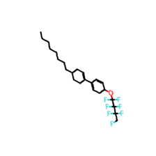 CCCCCCCCC1CC=C(C2=CCC(OC(F)(F)C(F)(F)C(F)(F)CF)C=C2)CC1